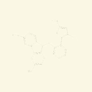 CC1=C(c2ccccc2CC2c3ccc(C(C)(C)C)cc3-c3cc(C(C)(C)C)ccc32)CC(C(C)(C)C)=C1